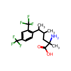 CC(CC(C)(N)C(=O)O)C(C)c1ccc(C(F)(F)F)cc1C(F)(F)F